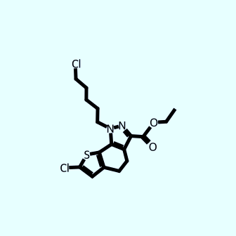 CCOC(=O)c1nn(CCCCCCl)c2c1CCc1cc(Cl)sc1-2